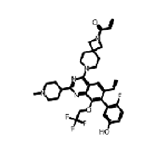 C=CC(=O)N1CC2(CCN(c3nc(C4CCN(C)CC4)nc4c(OCC(F)(F)F)c(-c5cc(O)ccc5F)c(C=C)cc34)CC2)C1